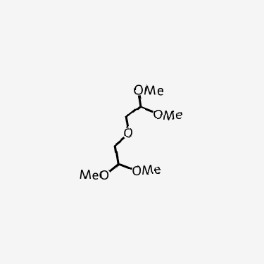 COC(COCC(OC)OC)OC